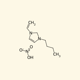 C=CN1C=CN(CCCC)C1.O=[N+]([O-])O